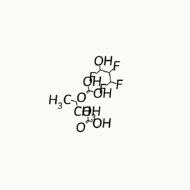 CCC.O=C(O)O.O=C(O)O.OC(F)C(F)C(F)F